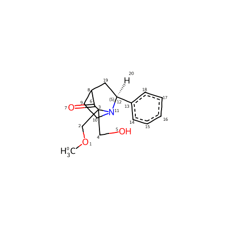 COCC1(CO)C(=O)C2CCN1[C@H](c1ccccc1)C2